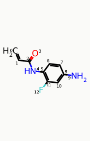 C=CC(=O)Nc1ccc(N)cc1F